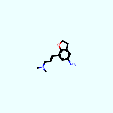 CN(C)C/C=C/c1cc(N)cc2c1OCC2